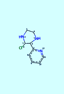 ClC1NCCNC1c1ccccn1